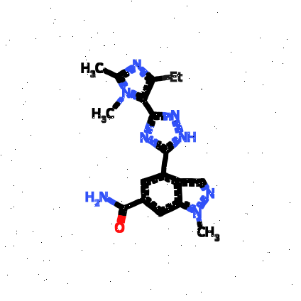 CCc1nc(C)n(C)c1-c1n[nH]c(-c2cc(C(N)=O)cc3c2cnn3C)n1